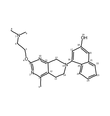 Cc1nc(OCCN(C)C)nc2c1CCN(c1cc(O)cc3ccccc13)C2